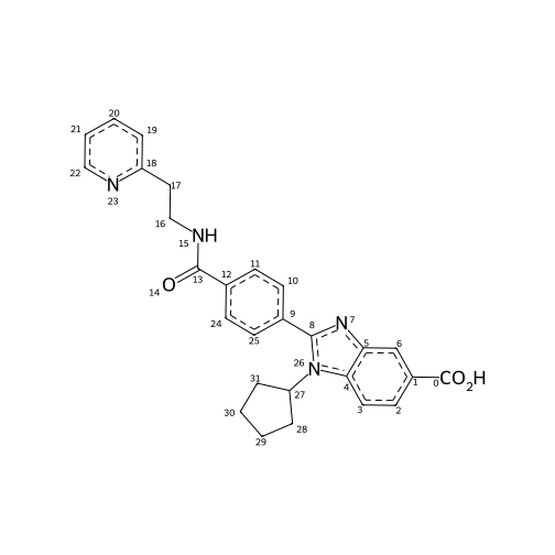 O=C(O)c1ccc2c(c1)nc(-c1ccc(C(=O)NCCc3ccccn3)cc1)n2C1CCCC1